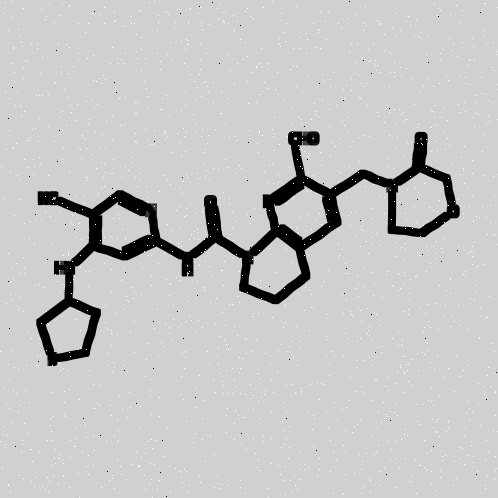 N#Cc1cnc(NC(=O)N2CCCc3cc(CN4CCOCC4=O)c(C=O)nc32)cc1NC1CCSC1